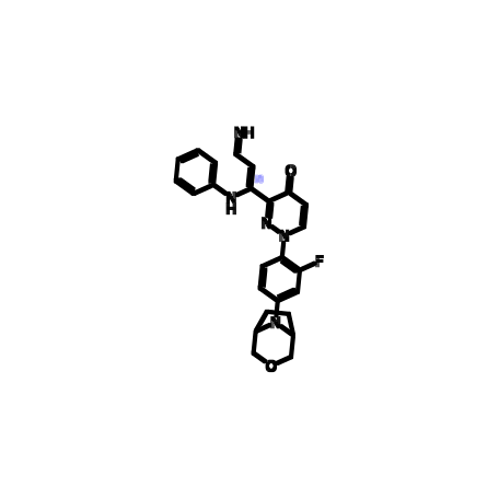 N=C/C=C(\Nc1ccccc1)c1nn(-c2ccc(N3C4CCC3COC4)cc2F)ccc1=O